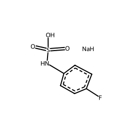 O=S(=O)(O)Nc1ccc(F)cc1.[NaH]